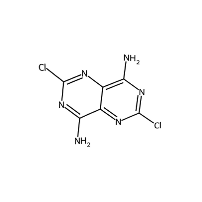 Nc1nc(Cl)nc2c(N)nc(Cl)nc12